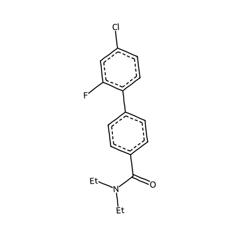 CCN(CC)C(=O)c1ccc(-c2ccc(Cl)cc2F)cc1